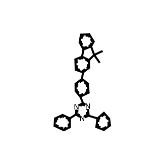 CC1(C)c2ccccc2-c2ccc(-c3ccc(-c4nc(-c5ccccc5)nc(-c5ccccc5)n4)cc3)cc21